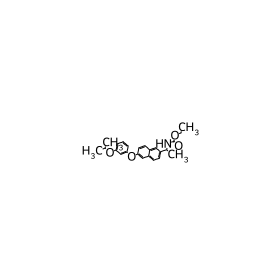 CCOC(=O)NC(C)c1ccc2cc(Oc3cccc(OC(C)C)c3)ccc2c1